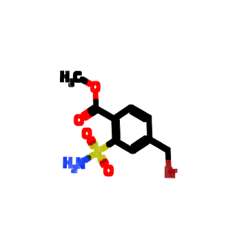 COC(=O)c1ccc(CBr)cc1S(N)(=O)=O